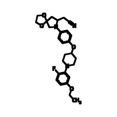 CCOc1ccc(F)c(N2CCC(Oc3ccc(N4CC5(CC4CC#N)OCCO5)cc3)CC2)c1